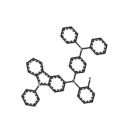 Fc1ccccc1N(c1ccc(N(c2ccccc2)c2ccccc2)cc1)c1ccc2c(c1)c1ccccc1n2-c1ccccc1